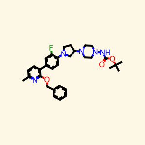 Cc1ccc(-c2ccc(N3CCC(N4CCN(NC(=O)OC(C)(C)C)CC4)C3)c(F)c2)c(OCc2ccccc2)n1